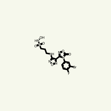 O=c1onc(-c2nonc2NCCCS(=O)(=O)NO)n1-c1ccc(F)c(Br)c1